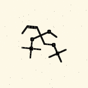 C/C=C\C(CO[Si](C)(C)C)(OC)O[Si](C)(C)C